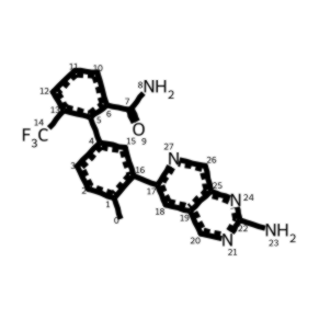 Cc1ccc(-c2c(C(N)=O)cccc2C(F)(F)F)cc1-c1cc2cnc(N)nc2cn1